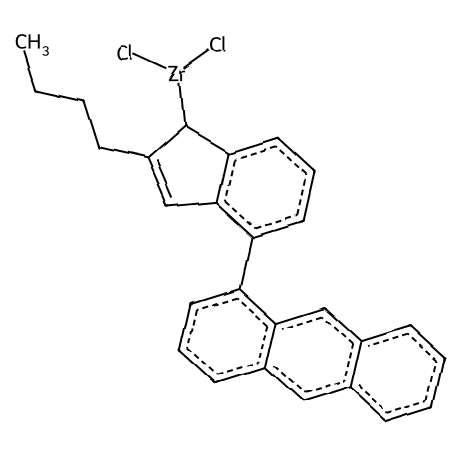 CCCCC1=Cc2c(-c3cccc4cc5ccccc5cc34)cccc2[CH]1[Zr]([Cl])[Cl]